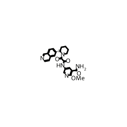 COc1ncc(NC(=O)C(=O)N2CCCC[C@H]2c2ccc3cnccc3c2)cc1C(N)=O